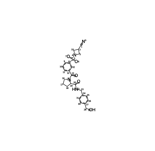 N#CC1CN(S(=O)(=O)c2cccc(C(=O)N3CCCC3C(=O)NCc3ccc(CO)cc3)c2)C1